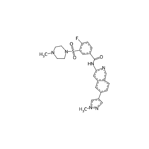 CN1CCN(S(=O)(=O)c2cc(C(=O)Nc3cc4cc(-c5cnn(C)c5)ccc4cn3)ccc2F)CC1